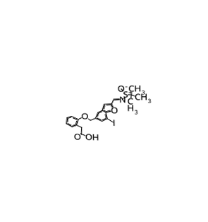 CC(C)(C)[S+]([O-])/N=C/c1cc2cc(COc3ccccc3CC(=O)O)cc(I)c2o1